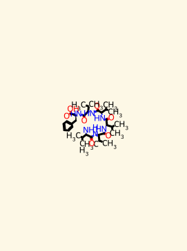 CC(C)[C@H](NC(=O)[C@H](N)C(C)C)C(=O)N[C@@H](C(=O)N[C@@H](C(=O)N[C@@H](C(=O)N[C@@H](Cc1ccccc1)C(=O)O)C(C)C)C(C)C)C(C)C